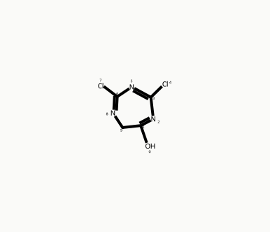 OC1=NC(Cl)=NC(Cl)=NC1